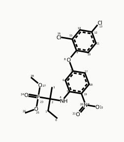 CCC(C)(Nc1cc(Oc2ccc(Cl)cc2Cl)ccc1[N+](=O)[O-])P(=O)(OC)OC